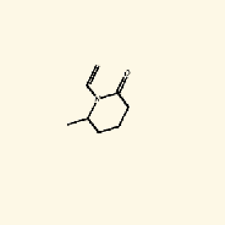 C=CN1C(=O)CCCC1C